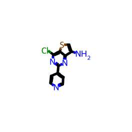 Nc1csc2c(Cl)nc(-c3ccncc3)nc12